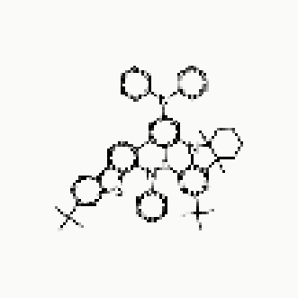 CC(C)(C)c1cc2c3c(c1)C1(C)CCCCC1(C)N3c1cc(N(c3ccccc3)c3ccccc3)cc3c1B2N(c1ccccc1)c1c-3ccc2c1sc1cc(C(C)(C)C)ccc12